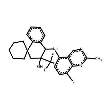 Cc1ncc2c(NC3c4ccccc4C4(CCCCC4)CC3(O)C(F)(F)F)ccc(F)c2n1